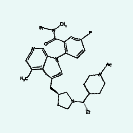 CC[C@@H](C1CCN(C(C)=O)CC1)N1CC[C@@H](Cc2cn(-c3ccc(F)cc3C(=O)N(C)C(C)C)c3cncc(C)c23)C1